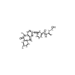 C=C(CCO)N[S+]([O-])c1cccc(Nc2ncc3c(n2)N(C)c2ccc(C)cc2C(=O)N3C)c1